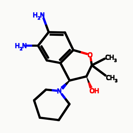 CC1(C)Oc2cc(N)c(N)cc2[C@H](N2CCCCC2)[C@H]1O